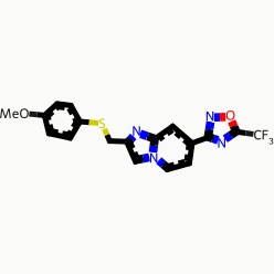 COc1ccc(SCc2cn3ccc(-c4noc(C(F)(F)F)n4)cc3n2)cc1